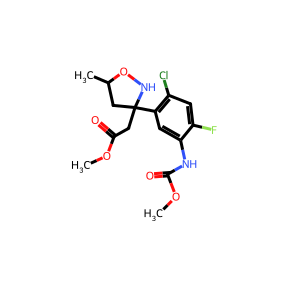 COC(=O)CC1(c2cc(NC(=O)OC)c(F)cc2Cl)CC(C)ON1